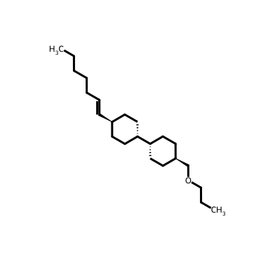 CCCCCC=C[C@H]1CC[C@H]([C@H]2CC[C@H](COCCC)CC2)CC1